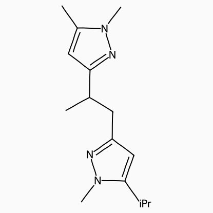 Cc1cc(C(C)Cc2cc(C(C)C)n(C)n2)nn1C